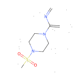 C=NC(=C)N1CCN(S(C)(=O)=O)CC1